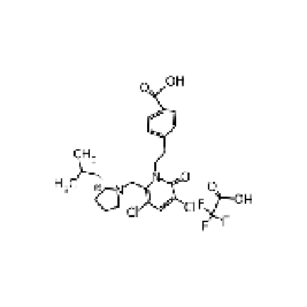 CC(C)C[C@H]1CCCN1Cc1c(Cl)cc(Cl)c(=O)n1CCc1ccc(C(=O)O)cc1.O=C(O)C(F)(F)F